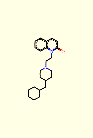 O=c1ccc2ccccc2n1CCN1CCC(CC2CCCCC2)CC1